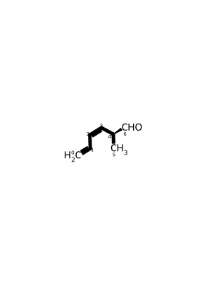 C=C/C=C\[C@H](C)C=O